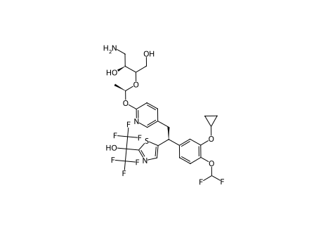 C[C@H](Oc1ccc(C[C@@H](c2ccc(OC(F)F)c(OC3CC3)c2)c2cnc(C(O)(C(F)(F)F)C(F)(F)F)s2)cn1)OC(CO)[C@@H](O)CN